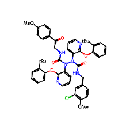 COc1ccc(C(=O)CNC(=O)N(c2cccnc2Oc2ccccc2C(C)(C)C)N(C(=O)NCc2ccc(OC)c(Cl)c2)c2cccnc2Oc2ccccc2C(C)(C)C)cc1